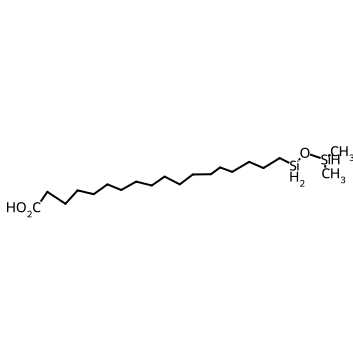 C[SiH](C)O[SiH2]CCCCCCCCCCCCCCCCCC(=O)O